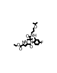 CCOC(=O)c1cc2n(n1)CC(C)(C(=O)NCCCOC(C)C)N(c1ccc(F)cc1C)C2=O